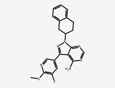 COc1ncc(-c2nn(C3CCc4ccccc4C3)c3ncnc(N)c23)cc1F